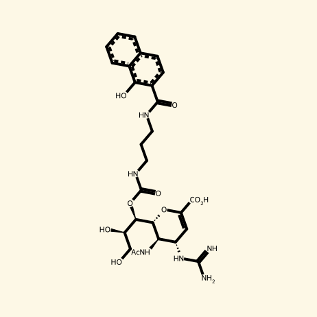 CC(=O)N[C@H]1[C@H]([C@H](OC(=O)NCCCNC(=O)c2ccc3ccccc3c2O)[C@H](O)CO)OC(C(=O)O)=C[C@@H]1NC(=N)N